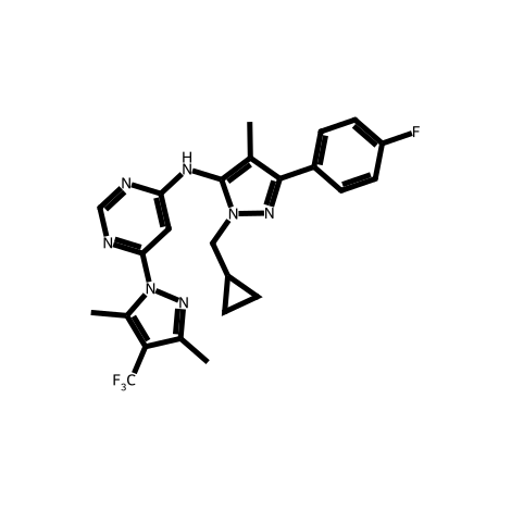 Cc1nn(-c2cc(Nc3c(C)c(-c4ccc(F)cc4)nn3CC3CC3)ncn2)c(C)c1C(F)(F)F